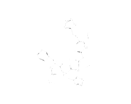 CC(C)C[C@H](NC(=O)C[C@H](O)[C@H](CC(C)C)NC(=O)[C@H](Cc1c[nH]cn1)NC(=O)[C@H](Cc1ccccc1)NC(=O)OC(C)(C)C)C(=O)NCc1nnn[nH]1